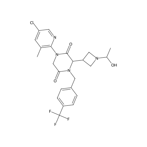 Cc1cc(Cl)cnc1N1CC(=O)N(Cc2ccc(C(F)(F)F)cc2)C(C2CN(C(C)O)C2)C1=O